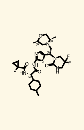 CC1CCC([C@H](NC(=O)C2(F)CC2)C(=O)Nc2ncc([C@@H](CN3C[C@@H](C)OC[C@H]3C)N3CC(F)(F)CNC3=O)s2)CC1